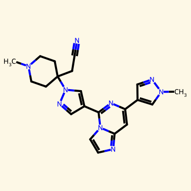 CN1CCC(CC#N)(n2cc(-c3nc(-c4cnn(C)c4)cc4nccn34)cn2)CC1